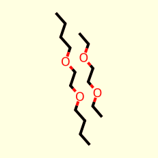 CCCCOCCOCCCC.CCOCCOCC